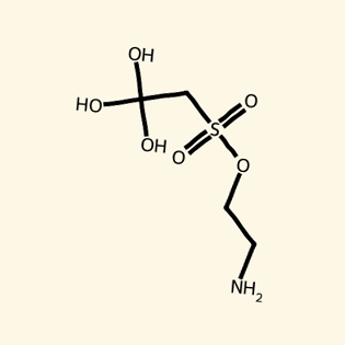 NCCOS(=O)(=O)CC(O)(O)O